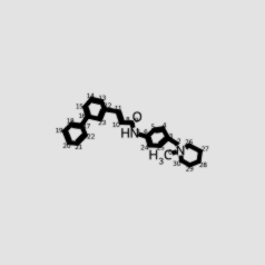 C[N+]1(Cc2ccc(NC(=O)C=Cc3cccc(-c4ccccc4)c3)cc2)CCCCC1